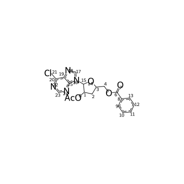 CC(=O)OC1CC(COC(=O)c2ccccc2)OC1n1cnc2c(Cl)ncnc21